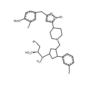 CCn1nc(Cc2ccc(OC)c(F)c2)cc1C1CCN(CC2CC(N(C)[C@H](CC(C)C)C(=O)O)CC2c2cccc(F)c2)CC1